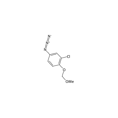 COCOc1ccc(N=[N+]=[N-])cc1Cl